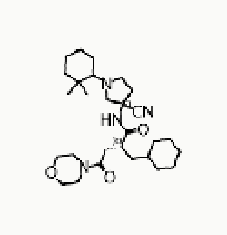 CC1(C)CCCCC1N1CC[C@](C#N)(NC(=O)[C@@H](CC(=O)N2CCOCC2)CC2CCCCC2)C1